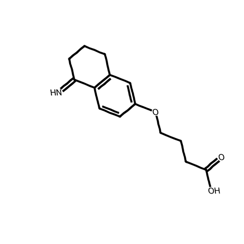 N=C1CCCc2cc(OCCCC(=O)O)ccc21